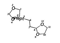 C1COCO1.CCCCCCCCCC1OCCO1